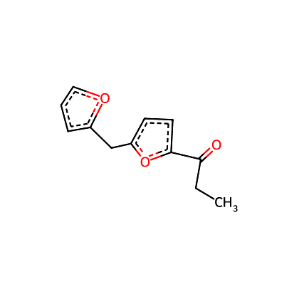 CCC(=O)c1ccc(Cc2ccco2)o1